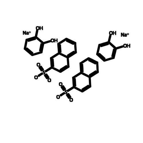 O=S(=O)([O-])c1ccc2ccccc2c1.O=S(=O)([O-])c1ccc2ccccc2c1.Oc1ccccc1O.Oc1ccccc1O.[Na+].[Na+]